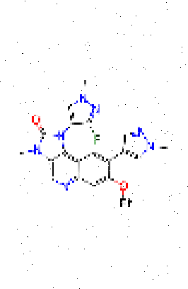 CCOc1cc2ncc3c(c2cc1-c1cnn(C)c1)n(-c1cn(C)nc1F)c(=O)n3C